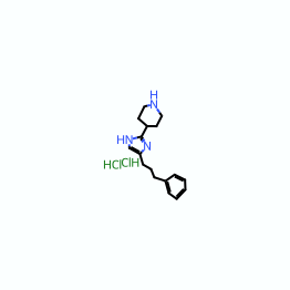 Cl.Cl.c1ccc(CCCc2c[nH]c(C3CCNCC3)n2)cc1